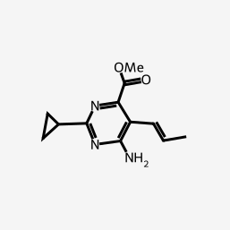 CC=Cc1c(N)nc(C2CC2)nc1C(=O)OC